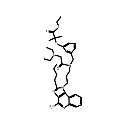 CCCCc1nc2c(N)nc3ccccc3c2n1CCCN(Cc1cccc(OC(C)(C)C(=O)OCC)c1)C(=O)CN(CC)CC